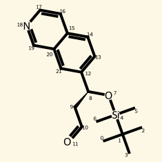 CC(C)(C)[Si](C)(C)O[C@@H](CC=O)c1ccc2ccncc2c1